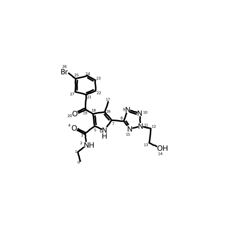 CCNC(=O)c1[nH]c(-c2nnn(CCO)n2)c(C)c1C(=O)c1cccc(Br)c1